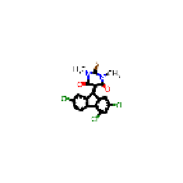 CN1C(=O)C(=C2c3cc(Cl)ccc3-c3c(Cl)cc(Cl)cc32)C(=O)N(C)C1=S